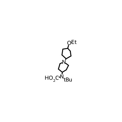 CCOC1CCC(N2CCC(N(C(=O)O)C(C)(C)C)CC2)CC1